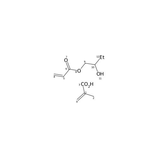 C=C(C)C(=O)O.C=CC(=O)OCC(O)CC